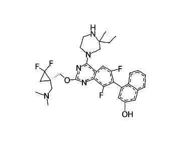 CCC1(C)CN(c2nc(OC[C@]3(CN(C)C)CC3(F)F)nc3c(F)c(-c4cc(O)cc5ccccc45)c(F)cc23)CCN1